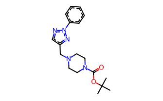 CC(C)(C)OC(=O)N1CCN(Cc2cnn(-c3ccccc3)n2)CC1